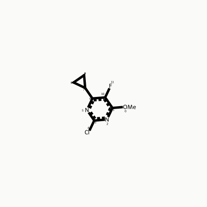 COc1nc(Cl)nc(C2CC2)c1F